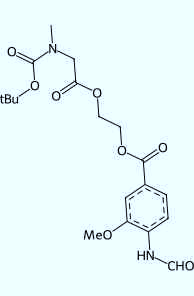 COc1cc(C(=O)OCCOC(=O)CN(C)C(=O)OC(C)(C)C)ccc1NC=O